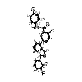 Cc1ccc(-c2cccn3c(-c4cccc(F)c4F)ncc23)nc1C(=O)Nc1ccc(F)cc1